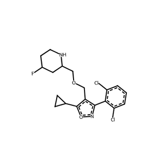 FC1CCNC(COCc2c(-c3c(Cl)cccc3Cl)noc2C2CC2)C1